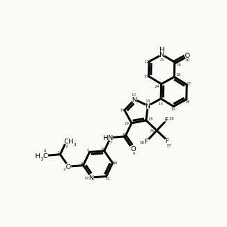 CC(C)Oc1cc(NC(=O)c2cnn(-c3cccc4c(=O)[nH]ccc34)c2C(F)(F)F)ccn1